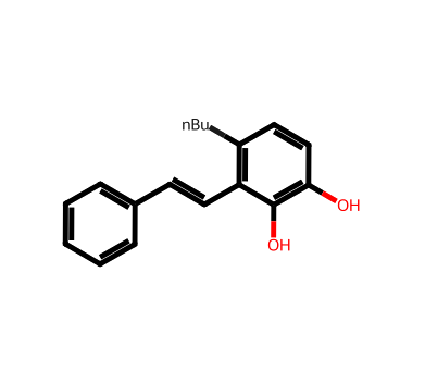 CCCCc1ccc(O)c(O)c1C=Cc1ccccc1